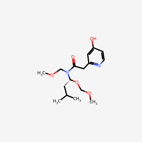 COCO[C@H](CC(C)C)N(COC)C(=O)Cc1cc(O)ccn1